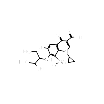 CC(C)C(Nc1c(F)cc2c(=O)c(C(=O)O)cn(C3CC3)c2c1[N+](=O)[O-])C(=O)O